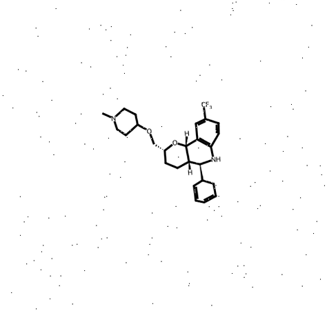 CN1CCC(OC[C@H]2CC[C@@H]3[C@H](O2)c2cc(C(F)(F)F)ccc2N[C@H]3C2C=CC=CC2)CC1